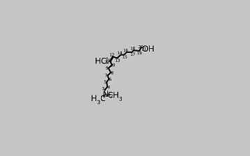 CN(C)CCCCCCCC/C=C\CCCCCCCCO.Cl